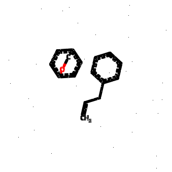 C=CCc1ccccc1.c1cc2ccc1CO2